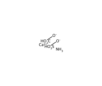 N.O=C([O-])O.O=S(=O)([O-])O.[Ca+2]